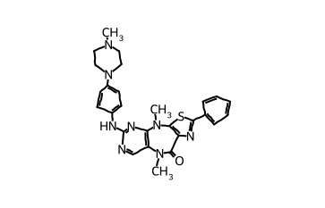 CN1CCN(c2ccc(Nc3ncc4c(n3)N(C)c3sc(-c5ccccc5)nc3C(=O)N4C)cc2)CC1